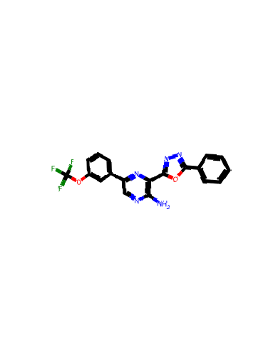 Nc1ncc(-c2cccc(OC(F)(F)F)c2)nc1-c1nnc(-c2ccccc2)o1